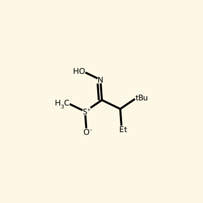 CCC(C(=NO)[S+](C)[O-])C(C)(C)C